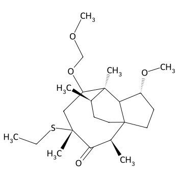 CCS[C@]1(C)CC(OCOC)[C@@]2(C)C3[C@H](OC)CCC3(CC[C@H]2C)[C@@H](C)C1=O